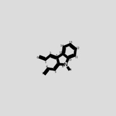 C=C/C=c1\c(=C/C=C)n(C)c2ccccc12